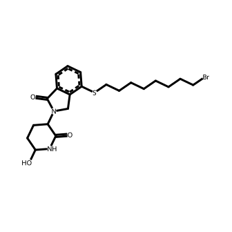 O=C1NC(O)CCC1N1Cc2c(SCCCCCCCCBr)cccc2C1=O